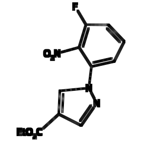 CCOC(=O)c1cnn(-c2cccc(F)c2[N+](=O)[O-])c1